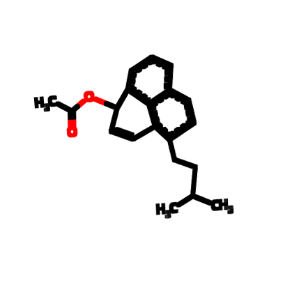 CC(=O)OC1C=Cc2c(CCC(C)C)ccc3cccc1c23